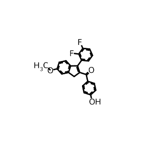 COc1ccc2c(c1)CC(C(=O)c1ccc(O)cc1)=C2c1cccc(F)c1F